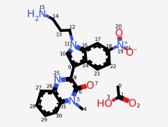 CC(=O)O.Cn1c(=O)c(-c2cn(CCCN)c3cc([N+](=O)[O-])ccc23)nc2ccccc21